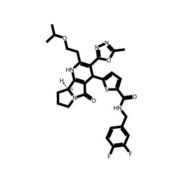 Cc1nnc(C2=C(CCOC(C)C)NC3=C(C(=O)N4CCC[C@@H]34)C2c2ccc(C(=O)NCc3ccc(F)c(F)c3)s2)o1